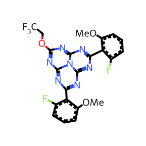 COc1cccc(F)c1C1=NC2=NC(OCC(F)(F)F)=NC3=NC(c4c(F)cccc4OC)=NC(=N1)N23